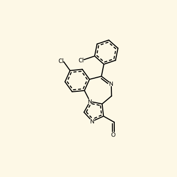 O=Cc1ncn2c1CN=C(c1ccccc1Cl)c1cc(Cl)ccc1-2